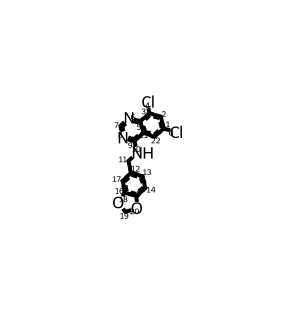 Clc1cc(Cl)c2ncnc(NCc3ccc4c(c3)OCO4)c2c1